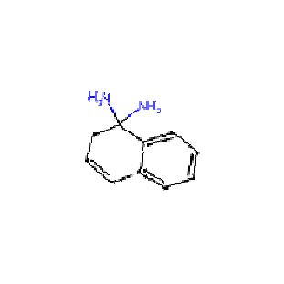 NC1(N)CC=Cc2ccccc21